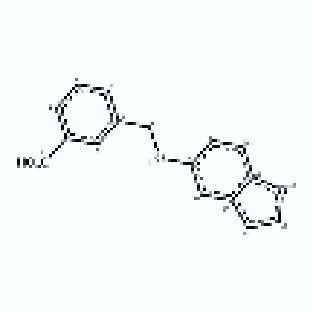 O=C(O)c1cccc(COc2ccc3occc3c2)c1